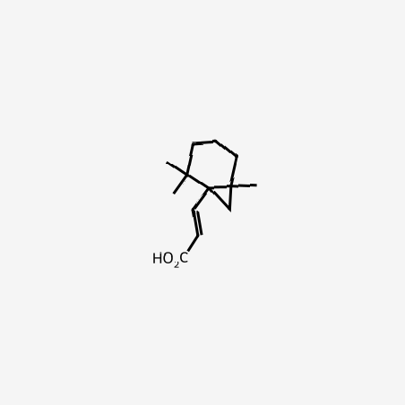 CC1(C)CCCC2(C)CC12C=CC(=O)O